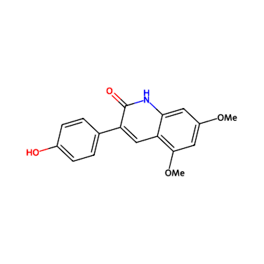 COc1cc(OC)c2cc(-c3ccc(O)cc3)c(=O)[nH]c2c1